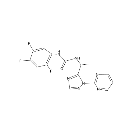 CC(NC(=O)Nc1cc(F)c(F)cc1F)c1ncnn1-c1ncccn1